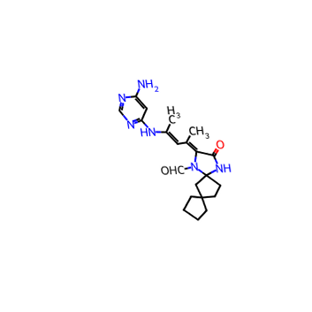 CC(/C=C(\C)Nc1cc(N)ncn1)=C1\C(=O)NC2(CCC3(CCCC3)C2)N1C=O